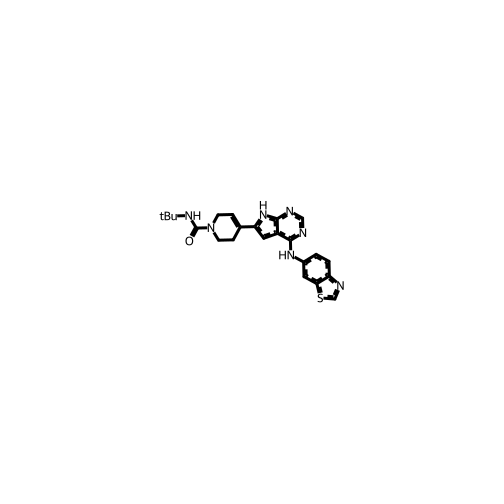 CC(C)(C)NC(=O)N1CC=C(c2cc3c(Nc4ccc5ncsc5c4)ncnc3[nH]2)CC1